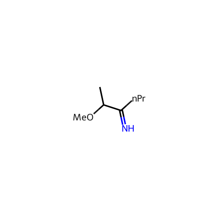 [CH2]CCC(=N)C(C)OC